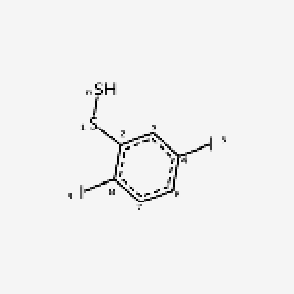 SSc1cc(I)ccc1I